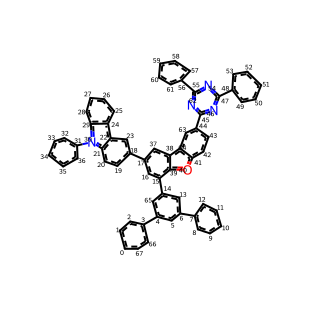 c1ccc(-c2cc(-c3ccccc3)cc(-c3cc(-c4ccc5c(c4)c4ccccc4n5-c4ccccc4)cc4c3oc3ccc(-c5nc(-c6ccccc6)nc(-c6ccccc6)n5)cc34)c2)cc1